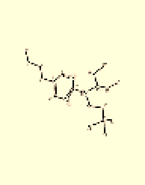 CCCCc1cnc(N(CCC(C)(C)C)C(CC)CC)nc1